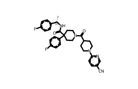 C[C@H](NC(=O)C1(c2ccc(F)cc2)CCN(C(=O)C2CCN(c3ccc(C#N)cn3)CC2)CC1)c1ccc(F)cc1